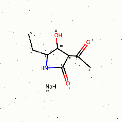 CCC1NC(=O)C(C(C)=O)C1O.[NaH]